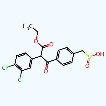 CCOC(=O)C(C(=O)c1ccc(CS(=O)O)cc1)c1ccc(Cl)c(Cl)c1